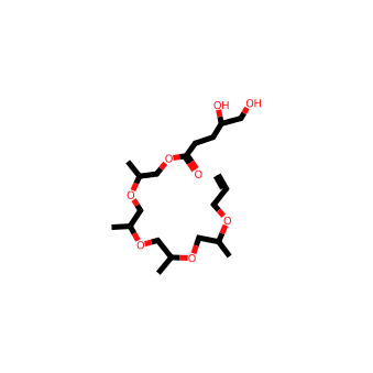 C=CCOC(C)COC(C)COC(C)COC(C)COC(=O)CCC(O)CO